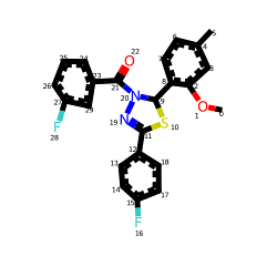 COc1cc(C)ccc1C1SC(c2ccc(F)cc2)=NN1C(=O)c1cccc(F)c1